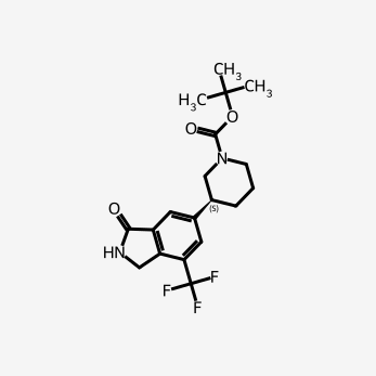 CC(C)(C)OC(=O)N1CCC[C@@H](c2cc3c(c(C(F)(F)F)c2)CNC3=O)C1